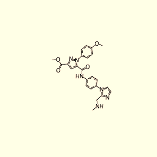 CNCc1nccn1-c1ccc(NC(=O)c2cc(C(=O)OC)nn2-c2ccc(OC)cc2)cc1